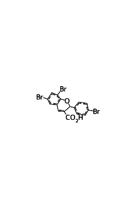 O=C(O)C1=Cc2cc(Br)cc(Br)c2OC1c1ccc(Br)cc1